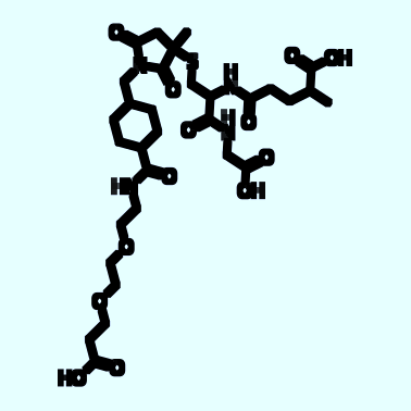 CC(CCC(=O)NC(CSC1(C)CC(=O)N(CC2CCC(C(=O)NCCOCCOCCC(=O)O)CC2)C1=O)C(=O)NCC(=O)O)C(=O)O